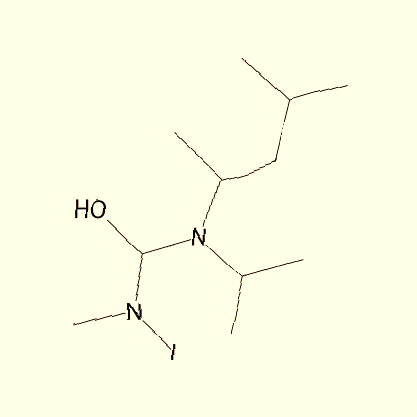 CC(C)CC(C)N(C(C)C)C(O)N(C)I